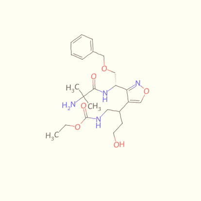 CCOC(=O)NCC(CCO)c1conc1[C@@H](COCc1ccccc1)NC(=O)C(C)(C)N